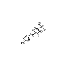 Cc1c(OCc2ccc(Cl)cn2)ccc2c1OCCC2=O